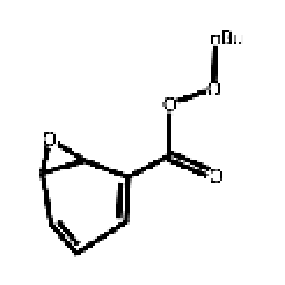 CCCCOOC(=O)C1=CC=CC2OC12